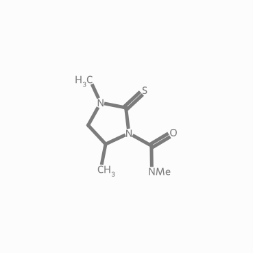 CNC(=O)N1C(=S)N(C)CC1C